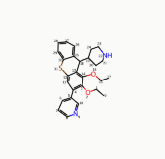 CCOc1c(-c2cccnc2)cc2c(c1OCC)C(C1CCNCC1)c1ccccc1S2